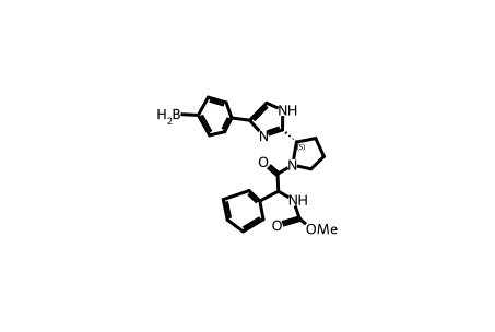 Bc1ccc(-c2c[nH]c([C@@H]3CCCN3C(=O)C(NC(=O)OC)c3ccccc3)n2)cc1